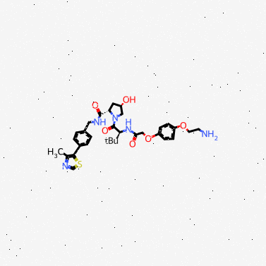 Cc1ncsc1-c1ccc(CNC(=O)[C@@H]2C[C@@H](O)CN2C(=O)[C@@H](NC(=O)COc2ccc(OCCN)cc2)C(C)(C)C)cc1